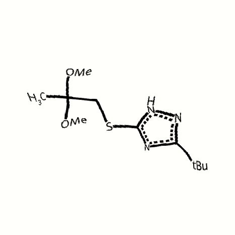 COC(C)(CSc1nc(C(C)(C)C)n[nH]1)OC